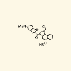 CNc1ccc2[nH]c(C(=O)N3C[C@@H](CCl)c4c3cc(OS)c3ccccc43)cc2c1